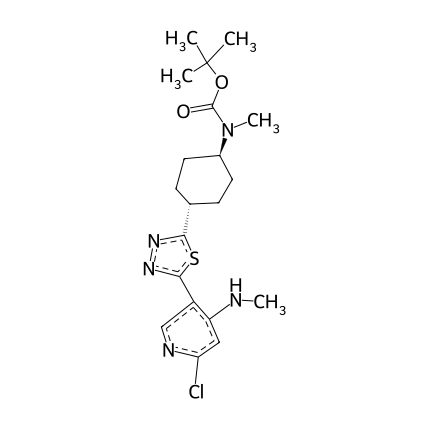 CNc1cc(Cl)ncc1-c1nnc([C@H]2CC[C@H](N(C)C(=O)OC(C)(C)C)CC2)s1